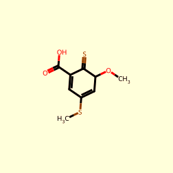 COC1C=C(SC)C=C(C(=O)O)C1=S